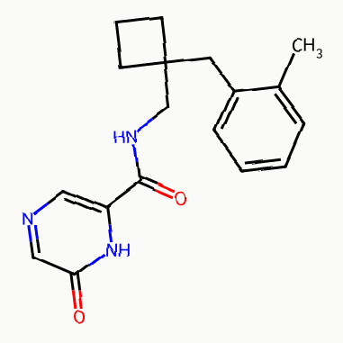 Cc1ccccc1CC1(CNC(=O)c2cncc(=O)[nH]2)CCC1